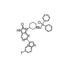 CC(C)(C)[Si](O[C@H]1CC[C@H](n2c(=O)[nH]c3cnc(-c4cnc5ccc(F)cn45)nc32)CC1)(c1ccccc1)c1ccccc1